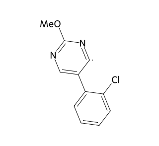 COc1n[c]c(-c2ccccc2Cl)cn1